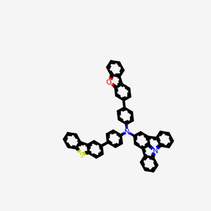 c1ccc2c(c1)oc1cc(-c3ccc(N(c4ccc(-c5ccc6sc7ccccc7c6c5)cc4)c4cc5c6ccccc6n6c7ccccc7c(c4)c56)cc3)ccc12